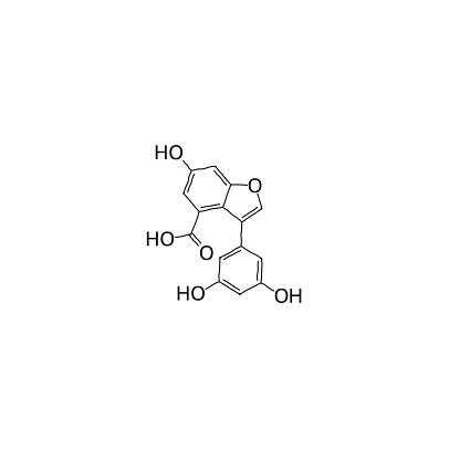 O=C(O)c1cc(O)cc2occ(-c3cc(O)cc(O)c3)c12